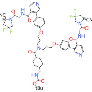 CC(C)(C)OC(=O)NCC1CCC(C(=O)N(CCCOc2ccc(-c3cnccc3C(=O)NCC(=O)N3CC(F)(F)C[C@H]3C#N)cc2)CCCOc2ccc(-c3cnccc3C(=O)NCC(=O)N3CC(F)(F)C[C@H]3C#N)cc2)CC1